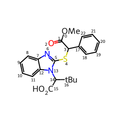 COC(=O)C(Sc1nc2ccccc2n1C(C(=O)O)C(C)(C)C)c1ccccc1